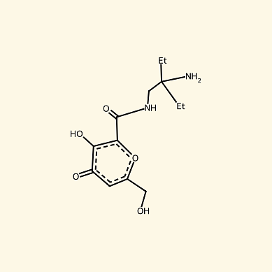 CCC(N)(CC)CNC(=O)c1oc(CO)cc(=O)c1O